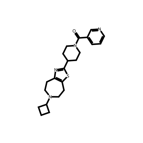 O=C(c1cccnc1)N1CCC(c2nc3c(s2)CCN(C2CCC2)CC3)CC1